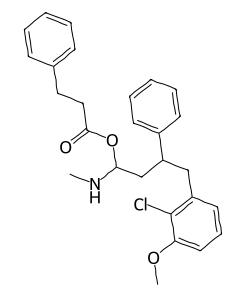 CNC(CC(Cc1cccc(OC)c1Cl)c1ccccc1)OC(=O)CCc1ccccc1